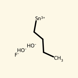 CCC[CH2][Sn+3].[F-].[OH-].[OH-]